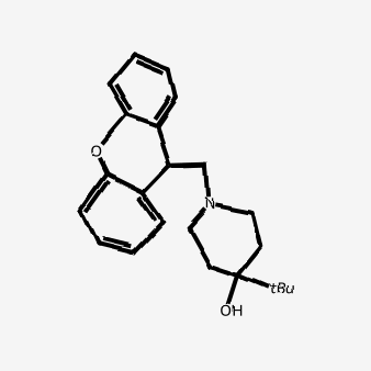 CC(C)(C)C1(O)CCN(CC2c3ccccc3Oc3ccccc32)CC1